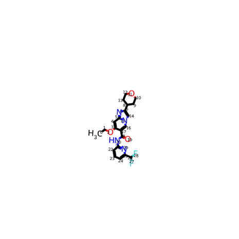 CCOc1cc2nc(C3CCOCC3)cn2cc1C(=O)Nc1cccc(C(F)F)n1